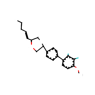 CCC/C=C/C1CCC(c2ccc(-c3ccc(OC)c(F)c3F)cc2)CO1